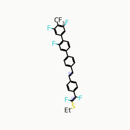 CCS/C(F)=C(\F)c1ccc(/C=C/c2ccc(-c3ccc(-c4cc(F)c(C(F)(F)F)c(F)c4)c(F)c3)cc2)cc1